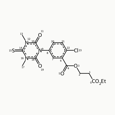 CCOC(=O)CCOC(=O)c1cc(-n2c(=O)n(C)c(=S)n(C)c2=O)ccc1Cl